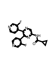 O=C(Nc1cnc(-c2ccncc2F)c(-c2ccncc2F)n1)C1CC1